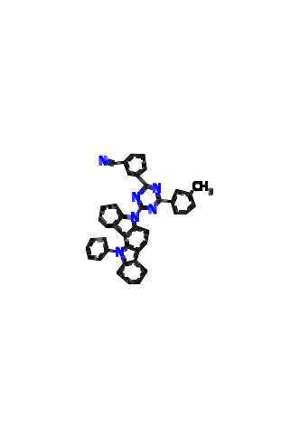 Cc1cccc(-c2nc(-c3cccc(C#N)c3)nc(-n3c4ccccc4c4c3ccc3c5ccccc5n(-c5ccccc5)c34)n2)c1